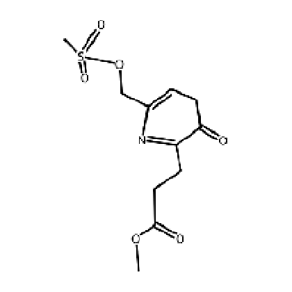 COC(=O)CCC1=NC(COS(C)(=O)=O)=CCC1=O